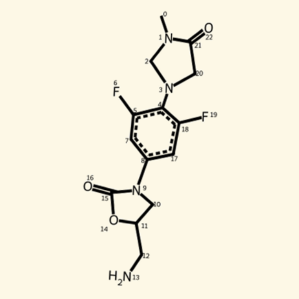 CN1CN(c2c(F)cc(N3CC(CN)OC3=O)cc2F)CC1=O